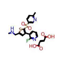 CNCc1cc(-c2cccnc2F)c(S(=O)(=O)c2ccc(C)nc2)s1.O=C(O)/C=C/C(=O)O